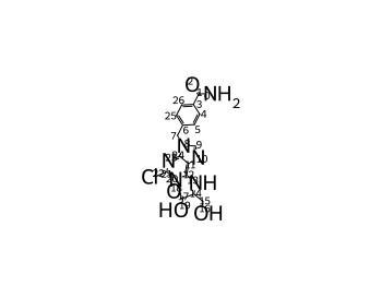 NC(=O)c1ccc(Cn2cnc3c(NC(CO)C(=O)O)nc(Cl)nc32)cc1